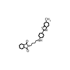 Cc1ccc2nc(-c3ccc(NCCCCN4C(=O)c5ccccc5C4=O)cc3)sc2c1